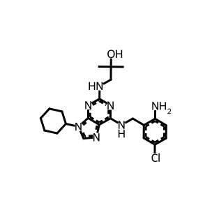 CC(C)(O)CNc1nc(NCc2cc(Cl)ccc2N)c2ncn(C3CCCCC3)c2n1